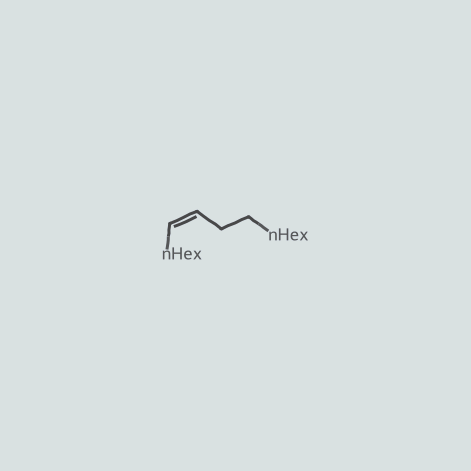 [CH2]CCCCC/C=C\CCCCCCCC